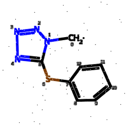 [CH2]n1nnnc1Sc1ccccc1